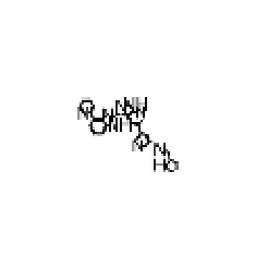 c1ccc(-c2cccc3[nH]c(-c4n[nH]c5ncc(-c6cncc(CNCC7CCCC7)c6)cc45)nc23)nc1